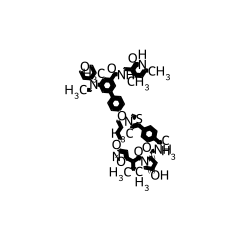 CCN(c1cc(-c2ccc(OCCCCOc3cc(C(C(=O)N4C[C@H](O)C[C@H]4C(=O)NC(C)c4ccc(-c5scnc5C)cc4)C(C)C)on3)cc2)cc(C(=O)NCc2c(C)cc(C)[nH]c2=O)c1C)C1CCOCC1